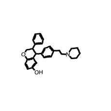 Oc1ccc2c(c1)C(c1ccc(CCN3CCCCC3)cc1)C(c1ccccc1)CO2